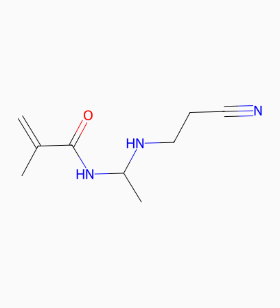 C=C(C)C(=O)NC(C)NCCC#N